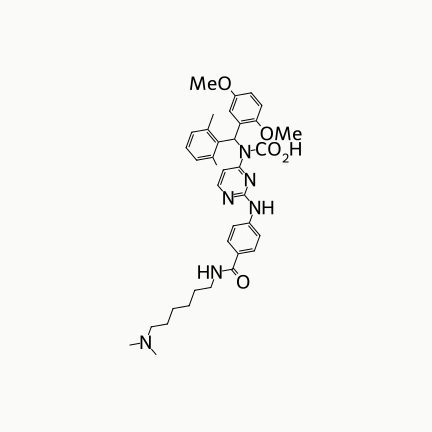 COc1ccc(OC)c(C(c2c(C)cccc2C)N(C(=O)O)c2ccnc(Nc3ccc(C(=O)NCCCCCCN(C)C)cc3)n2)c1